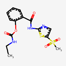 CCNC(=O)Oc1ccccc1C(=O)Nc1ncc(S(C)(=O)=O)s1